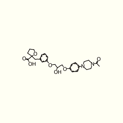 CC(=O)N1CCN(c2ccc(OCC(O)COc3cccc(CC4(C(=O)O)CCCO4)c3)cc2)CC1